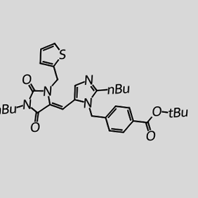 CCCCc1ncc(C=C2C(=O)N(CCCC)C(=O)N2Cc2cccs2)n1Cc1ccc(C(=O)OC(C)(C)C)cc1